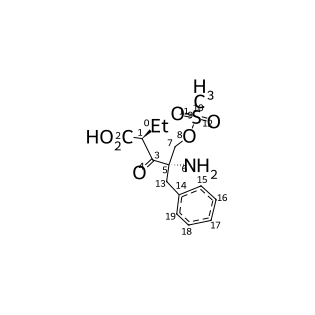 CC[C@H](C(=O)O)C(=O)[C@@](N)(COS(C)(=O)=O)Cc1ccccc1